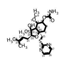 COC1C(OC(N)=O)CC[C@@]2(CSc3ncccn3)O[C@@H](CC=C(C)C)[C@@](C)(O)C12